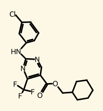 O=C(OCC1CCCCC1)c1cnc(Nc2cccc(Cl)c2)nc1C(F)(F)F